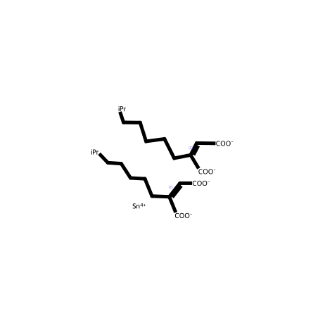 CC(C)CCCCC/C(=C/C(=O)[O-])C(=O)[O-].CC(C)CCCCC/C(=C/C(=O)[O-])C(=O)[O-].[Sn+4]